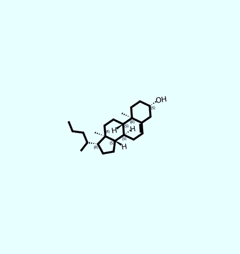 CCCC(C)[C@H]1CC[C@H]2[C@@H]3CC=C4C[C@@H](O)CC[C@]4(C)[C@H]3CC[C@]12C